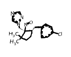 CC1(C)CC[C@@H](Cc2ccc(Cl)cc2)[C@]1(Cn1cncn1)N=O